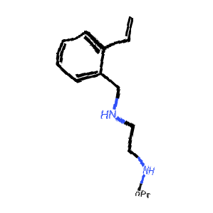 [CH2]CCNCCNCc1ccccc1C=C